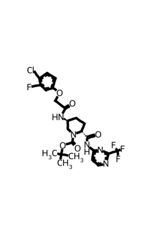 CC(C)(C)OC(=O)N1C[C@@H](NC(=O)COc2ccc(Cl)c(F)c2)CC[C@@H]1C(=O)Nc1ccnc(C(F)(F)F)n1